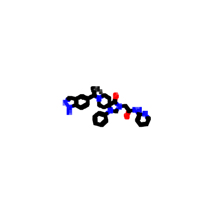 C=C(c1ccc2[nH]ncc2c1)N1CCC2(CC1)C(=O)N(CC(=O)Nc1ccccn1)CN2c1ccccc1